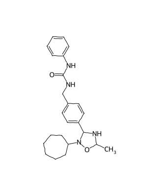 CC1NC(c2ccc(CNC(=O)Nc3ccccc3)cc2)N(C2CCCCCC2)O1